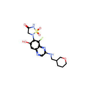 O=C1CN(c2c(O)cc3ncc(NCC4CCCOC4)nc3c2F)S(=O)(=O)N1